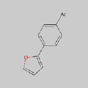 CC(=O)c1ccc(-c2cc[c]o2)cc1